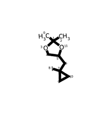 CC1(C)OCC(CC2(I)CC2)O1